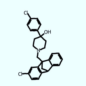 OC1(c2ccc(Cl)cc2)CCN(CC23CC(c4ccccc42)c2ccc(Cl)cc23)CC1